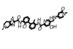 Cc1c(NC(=O)c2cc(O)c(CNc3ccn(C)c(=O)c3)cn2)cccc1-c1cccc(NC(=O)c2nc3c(n2C)CCN(C)C3)c1Cl